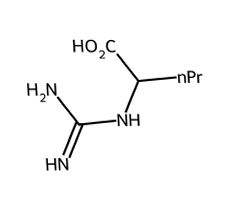 CCCC(NC(=N)N)C(=O)O